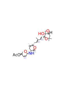 CC(=O)O[C@H](C)/C=C\C(=O)NC1C[C@H](C)[C@H](C/C=C(C)/C=C/[C@H]2OC(C)(C)C[C@@H]3OCC32O)O[C@@H]1C